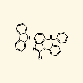 CCc1nc2c(-n3c4ccccc4c4ccccc43)ccc3c2n1-c1ccccc1P3(=O)c1ccccc1